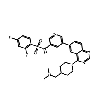 CN(C)CC1CCN(c2ncnc3ccc(-c4cncc(NS(=O)(=O)c5ccc(F)cc5F)c4)cc23)CC1